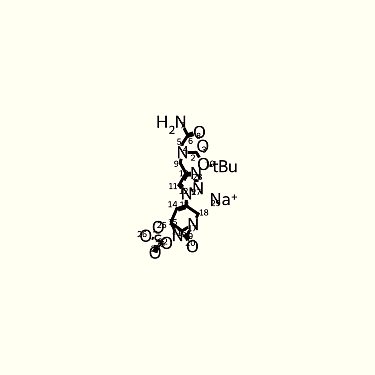 CC(C)(C)OC(=O)N(CC(N)=O)Cc1cn(C2=CC3CN(C2)C(=O)N3OS(=O)(=O)[O-])nn1.[Na+]